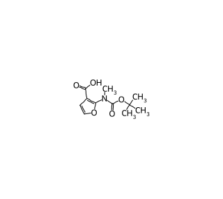 CN(C(=O)OC(C)(C)C)c1occc1C(=O)O